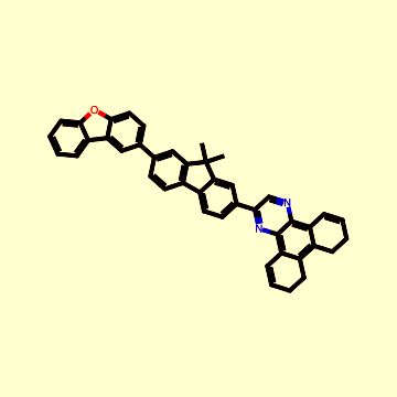 CC1(C)c2cc(-c3ccc4oc5ccccc5c4c3)ccc2-c2ccc(-c3cnc4c5c(c6c(c4n3)C=CCC6)CCC=C5)cc21